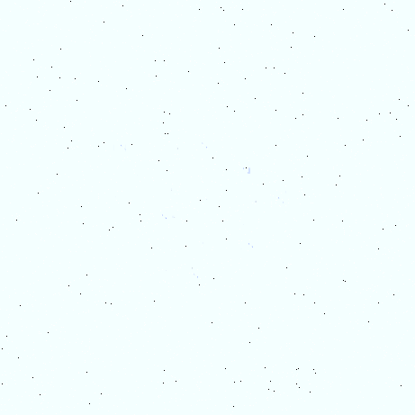 NC(=O)c1cnc(Nc2cnccn2)cc1NC1CNC1